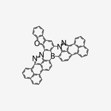 c1ccc2c(c1)oc1c3c4c(cc12)-n1nc2c5cccc6cccc(c7ccc(c1c72)B4c1ccc2c4cccc7cccc(c8nn-3c1c28)c74)c65